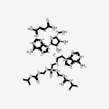 CC(C)OC(=O)OCOP(=O)(CO[C@H](C)Cn1cnc2c(N)ncnc21)OCOC(=O)OC(C)C.Nc1ncnc2c1ncn2[C@@H]1O[C@H](CO)[C@@H](O)[C@@H]1O.O=C(O)/C=C/C(=O)O